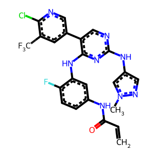 C=CC(=O)Nc1ccc(F)c(Nc2nc(Nc3cnn(C)c3)ncc2-c2cnc(Cl)c(C(F)(F)F)c2)c1